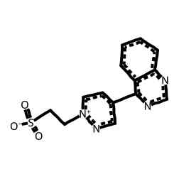 O=S(=O)([O-])CC[n+]1ccc(-c2ncnc3ccccc23)cn1